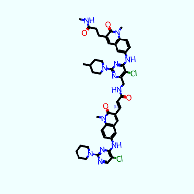 CNC(=O)CCc1cc2cc(Nc3nc(N4CCC(C)CC4)nc(CNC(=O)/C=C/c4cc5cc(Nc6nc(N7CCCCC7)ncc6Cl)ccc5n(C)c4=O)c3Cl)ccc2n(C)c1=O